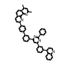 Cc1cc(C)c2ccc3ccc(-c4ccc(-c5cccc(-c6cc(-c7cccc(-c8ccnc9ccccc89)c7)nc(-c7ccccc7)n6)c5)cc4)nc3c2n1